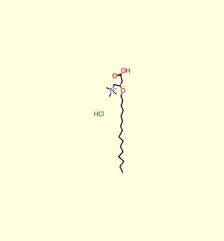 CCCCCCCCCCCCCCCCO[C@H](CC(=O)O)C[N+](C)(C)C.Cl